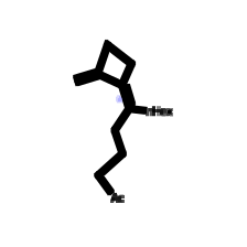 C=C1CC/C1=C(\CCCCCC)CCCC(C)=O